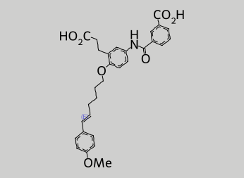 COc1ccc(/C=C/CCCCOc2ccc(NC(=O)c3cccc(C(=O)O)c3)cc2CCC(=O)O)cc1